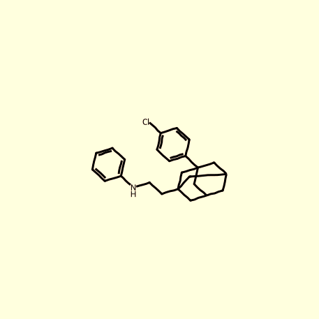 Clc1ccc(C23CC4CC(CC(CCNc5ccccc5)(C4)C2)C3)cc1